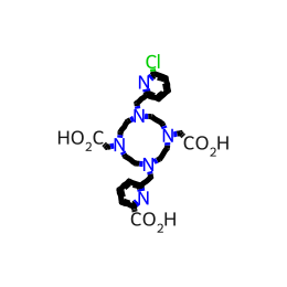 O=C(O)CN1CCN(Cc2cccc(Cl)n2)CCN(CC(=O)O)CCN(Cc2cccc(C(=O)O)n2)CC1